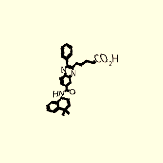 CC1(C)CC[C@H](NC(=O)c2ccc3nc(-c4ccccc4)c(CCCCC(=O)O)nc3c2)c2ccccc21